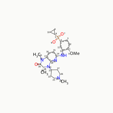 COc1ccc(S(=O)(=O)C2CC2)cc1Nc1ccc2c(n1)N(C1CCN(C)CC1)[C@H](C)C(=O)N2C